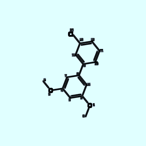 COc1cc(OC)cc(-c2[c]ccc(Cl)c2)c1